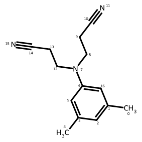 Cc1cc(C)cc(N(CCC#N)CCC#N)c1